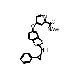 CNC(=O)c1cc(Oc2ccc3nc(NC4CC4c4ccccc4)sc3c2)ccn1